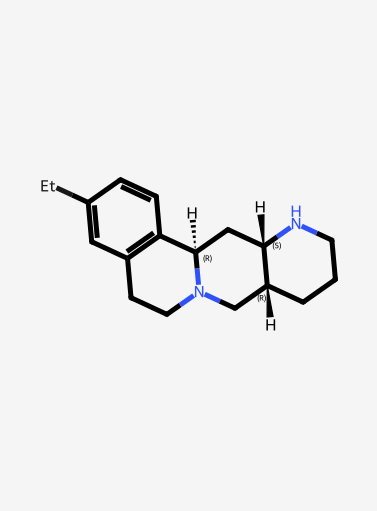 CCc1ccc2c(c1)CCN1C[C@H]3CCCN[C@H]3C[C@H]21